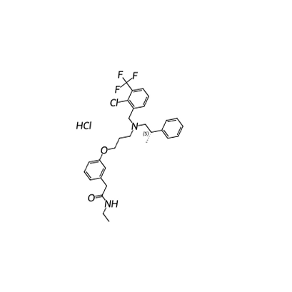 CCNC(=O)Cc1cccc(OCCCN(Cc2cccc(C(F)(F)F)c2Cl)C[C@@H](C)c2ccccc2)c1.Cl